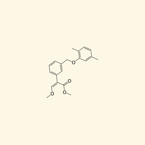 COC=C(C(=O)OC)c1cccc(COc2cc(C)ccc2C)c1